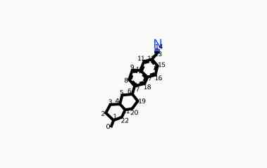 CC1CCC2CC(c3ccc4cc(C#N)ccc4c3)CCC2C1